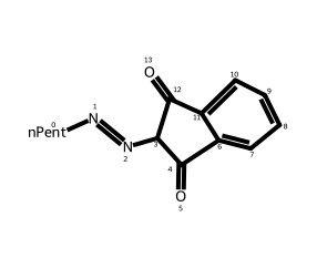 CCCCCN=NC1C(=O)c2ccccc2C1=O